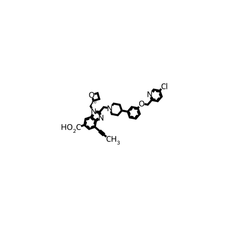 CC#Cc1cc(C(=O)O)cc2c1nc(CN1CCC(c3cccc(OCc4ccc(Cl)cn4)c3)CC1)n2C[C@@H]1CCO1